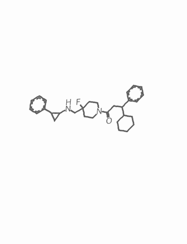 O=C(CC(c1ccccc1)C1CCCCC1)N1CCC(F)(CNC2CC2c2ccccc2)CC1